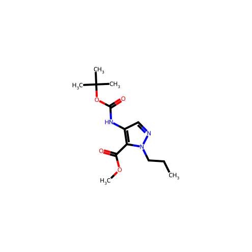 CCCn1ncc(NC(=O)OC(C)(C)C)c1C(=O)OC